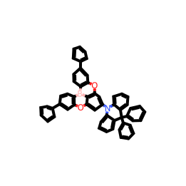 c1ccc(-c2ccc3c(c2)Oc2cc(N4c5ccccc5C(c5ccccc5)(c5ccccc5)c5ccccc54)cc4c2B3c2ccc(-c3ccccc3)cc2O4)cc1